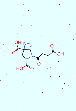 N[C@]1(C(=O)O)C[C@@H](C(=O)O)N(C(=O)CCC(=O)O)C1